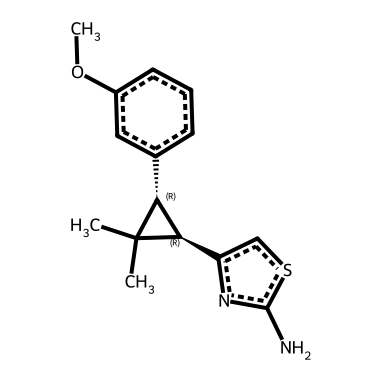 COc1cccc([C@@H]2[C@@H](c3csc(N)n3)C2(C)C)c1